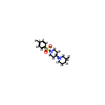 Cc1ccc(S(=O)(=O)N2CCC(N3CCCC(C)C3)CC2)cc1